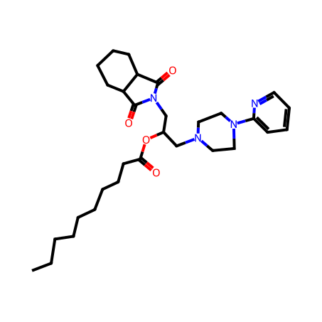 CCCCCCCCCC(=O)OC(CN1CCN(c2ccccn2)CC1)CN1C(=O)C2CCCCC2C1=O